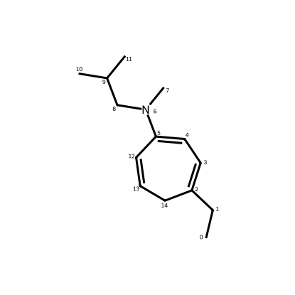 CCC1=CC=C(N(C)CC(C)C)C=CC1